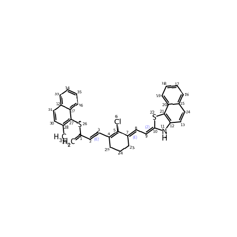 C=C(/C=C/C1=C(Cl)C(=C/C=C2/Nc3ccc4ccccc4c3S2)/CCC1)Sc1c(C)ccc2ccccc12